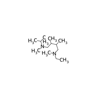 CCN(C)CC(C)C(C)CN(C)C(C)C